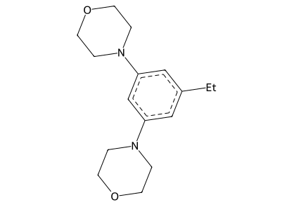 CCc1cc(N2CCOCC2)cc(N2CCOCC2)c1